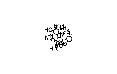 CCOC(=O)c1c(C(c2ccccc2)S(=O)(=O)O)n(C)c2c(C)c(Br)c(O)c(-n3ccnc3)c12.Cl